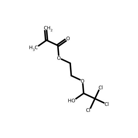 C=C(C)C(=O)OCCOC(O)C(Cl)(Cl)Cl